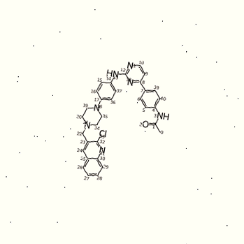 CC(=O)Nc1ccc(-c2ccnc(Nc3ccc(N4CCN(Cc5cc6ccccc6nc5Cl)CC4)cc3)n2)cc1